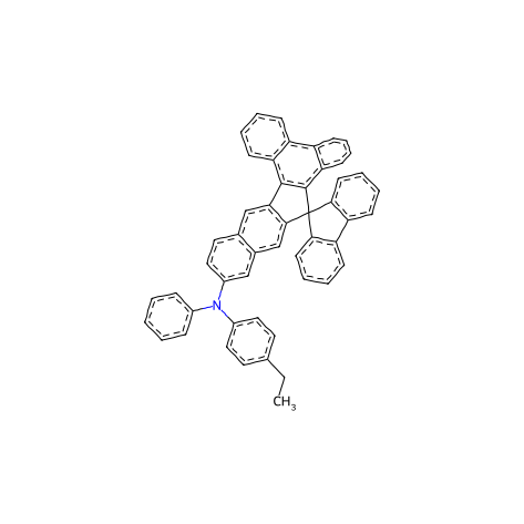 CCc1ccc(N(c2ccccc2)c2ccc3cc4c(cc3c2)C2(c3ccccc3-c3ccccc32)c2c-4c3ccccc3c3ccccc23)cc1